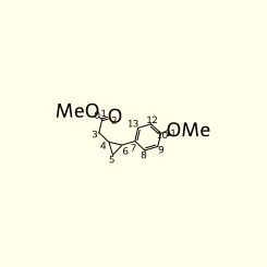 COC(=O)CC1CC1c1ccc(OC)cc1